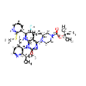 CSc1ncccc1-c1nc2c(cc1F)c(N1CCN(C(=O)OC(C)(C)C)C[C@@H]1C)nc(=O)n2-c1c(C)ccnc1C(C)C